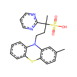 Cc1ccc2c(c1)N(CCC(C)(c1ncccn1)S(=O)(=O)O)c1ccccc1S2